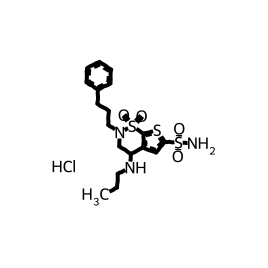 CCCNC1CN(CCCc2ccccc2)S(=O)(=O)c2sc(S(N)(=O)=O)cc21.Cl